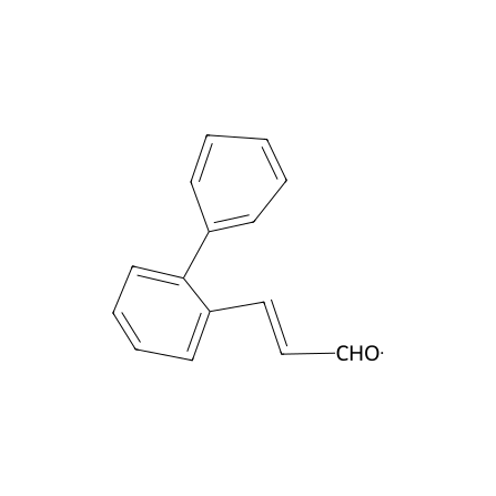 O=[C]/C=C/c1ccccc1-c1ccccc1